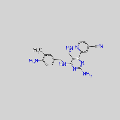 Cc1cc(CNc2nc(N)nc(-c3cc(C#N)ccn3)c2C=N)ccc1N